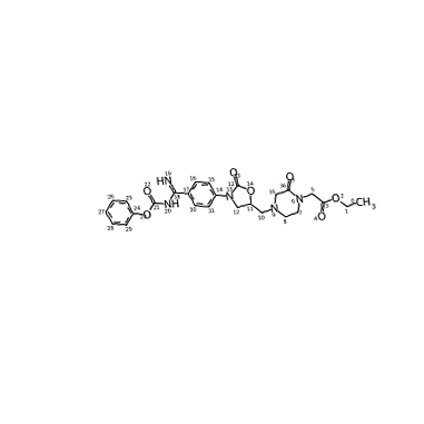 CCOC(=O)CN1CCN(CC2CN(c3ccc(C(=N)NC(=O)Oc4ccccc4)cc3)C(=O)O2)CC1=O